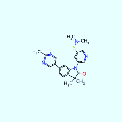 Cc1ncc(-c2ccc3c(c2)N(c2cncc(SN(C)C)c2)C(=O)C3(C)C)cn1